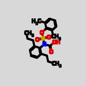 CCCc1cccc(CCC)c1N(C(=O)O)S(=O)(=O)Oc1c(C)cccc1C